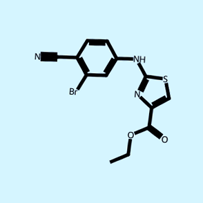 CCOC(=O)c1csc(Nc2ccc(C#N)c(Br)c2)n1